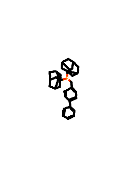 c1ccc(-c2ccc(CP(C34CC5CC(CC(C5)C3)C4)C34CC5CC(CC(C5)C3)C4)cc2)cc1